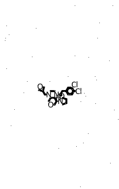 O=C(Cc1ccc(Cl)c(Cl)c1)N1CCN(CC2COC2)C2COC[C@H](N3CCCC3)[C@H]21